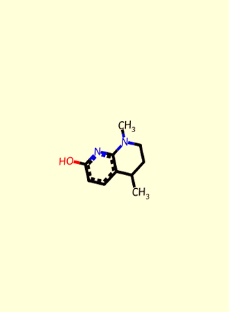 CC1CCN(C)c2nc(O)ccc21